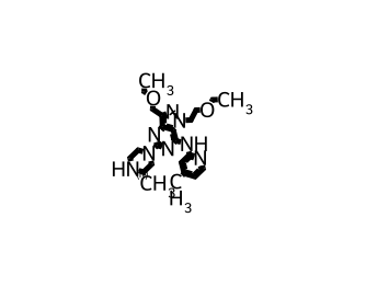 CCOCCn1nc(COCC)c2nc(N3CCN[C@H](C)C3)nc(Nc3cc(C)ccn3)c21